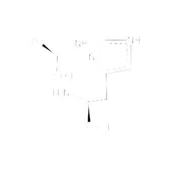 CC(C)[C@@H](N)C(=O)O.N[C@@H](Cc1c[nH]cn1)C(=O)O